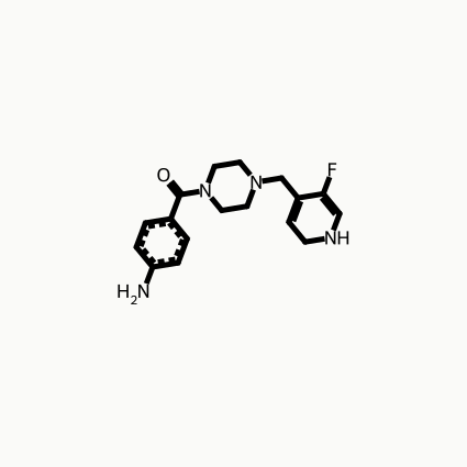 Nc1ccc(C(=O)N2CCN(CC3=CCNC=C3F)CC2)cc1